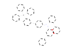 c1ccc(-c2cccc(N(c3ccc(-c4ccc5c(c4)C(c4ccccc4)(c4ccccc4)c4ccccc4-5)cc3)c3ccccc3-c3ccccc3)c2)cc1